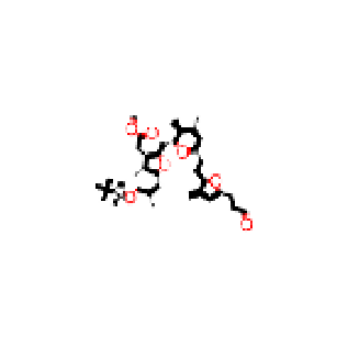 C=C1C[C@H](CCC=O)OC1CC[C@H]1C[C@@H](C)C(=C)[C@@H](CC2O[C@H](C[C@H](C)CO[Si](C)(C)C(C)(C)C)[C@H](C)[C@H]2CC(=O)OC)O1